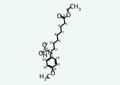 CCOC(=O)CCCCCCCN(c1ccc(OC)cc1)[SH](=O)=O